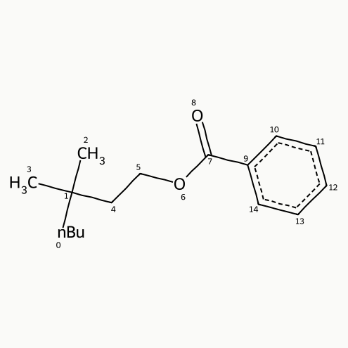 CCCCC(C)(C)CCOC(=O)c1ccccc1